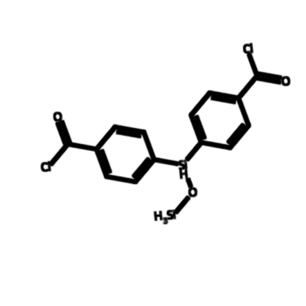 O=C(Cl)c1ccc([SiH](O[SiH3])c2ccc(C(=O)Cl)cc2)cc1